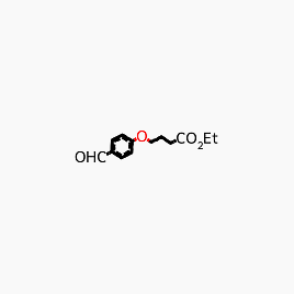 CCOC(=O)CCCOc1ccc(C=O)cc1